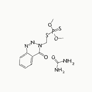 COP(=S)(OC)SCn1nnc2ccccc2c1=O.NC(N)=O